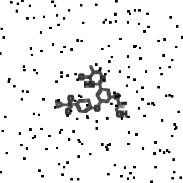 Cc1cnc(-c2cc(Oc3ccc(S(=O)(=O)C4CC4)cc3)cc(O[C@@H](C)CO)c2)[nH]c1=O